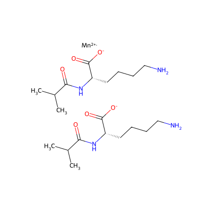 CC(C)C(=O)N[C@@H](CCCCN)C(=O)[O-].CC(C)C(=O)N[C@@H](CCCCN)C(=O)[O-].[Mn+2]